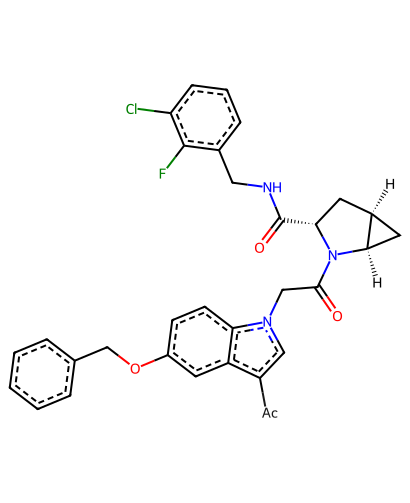 CC(=O)c1cn(CC(=O)N2[C@@H]3C[C@@H]3C[C@H]2C(=O)NCc2cccc(Cl)c2F)c2ccc(OCc3ccccc3)cc12